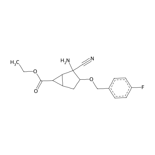 CCOC(=O)C1C2CC(OCc3ccc(F)cc3)C(N)(C#N)C21